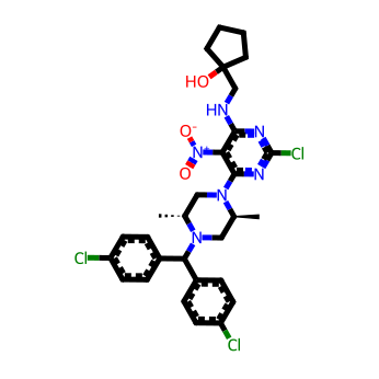 C[C@@H]1CN(c2nc(Cl)nc(NCC3(O)CCCC3)c2[N+](=O)[O-])[C@@H](C)CN1C(c1ccc(Cl)cc1)c1ccc(Cl)cc1